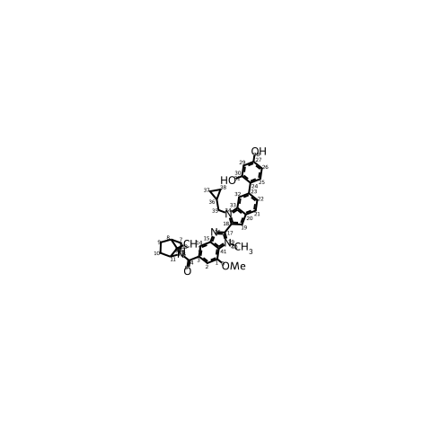 COc1cc(C(=O)N2CC3CCC2[C@@H]3C)cc2nc(-c3cc4ccc(-c5ccc(O)cc5O)cc4n3CC3CC3)n(C)c12